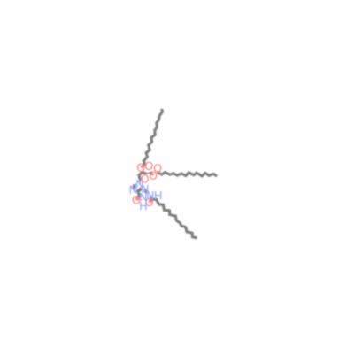 CCCCCCCCCCCCCCCC(=O)Nc1nc2c(ncn2[C@H]2C[C@H](OC(=O)CCCCCCCCCCCCCCC)[C@@H](COC(=O)CCCCCCCCCCCCCCC)O2)c(=O)[nH]1